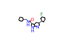 O=C(NCc1ccccc1)c1c[nH]c2ncc(-c3cccc(F)c3)cc12